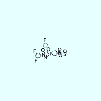 O=c1c(OC2CCC(F)C2)c(N2CCN(S(=O)(=O)c3cccs3)CC2)cnn1-c1cc(F)cc(F)c1